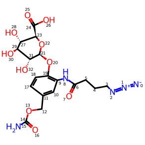 [N-]=[N+]=NCCCC(=O)Nc1cc(COC(N)=O)ccc1O[C@@H]1O[C@H](C(=O)O)[C@@H](O)[C@H](O)[C@H]1O